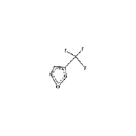 FC(F)(F)c1[c]noc1